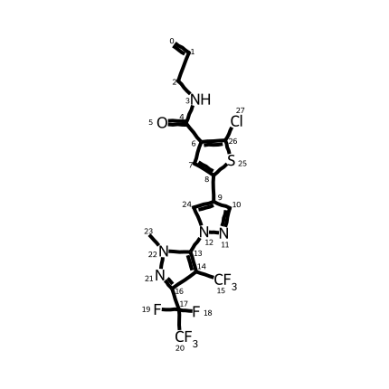 C=CCNC(=O)c1cc(-c2cnn(-c3c(C(F)(F)F)c(C(F)(F)C(F)(F)F)nn3C)c2)sc1Cl